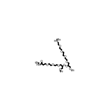 CC(C)OCC(COCCOCCOCCOCCNC(C)(C)C)OOC(COCCOCCOCCC(=O)NC(C)(C)C)COC(C)C